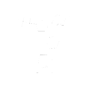 COc1ncc(-c2cccc(C3CC(C(F)(F)C(F)(F)F)=NN3c3ccc(F)cc3F)c2)cc1CO